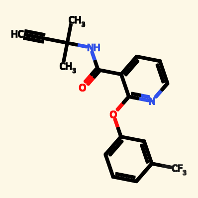 C#CC(C)(C)NC(=O)c1cccnc1Oc1cccc(C(F)(F)F)c1